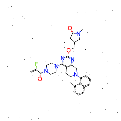 C=C(F)C(=O)N1CCN(c2nc(OCC3CC(=O)N(C)C3)nc3c2CCN(c2cccc4cccc(C)c24)C3)CC1